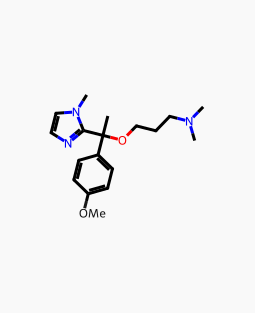 COc1ccc(C(C)(OCCCN(C)C)c2nccn2C)cc1